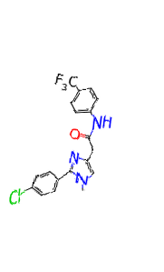 Cn1cc(CC(=O)Nc2ccc(C(F)(F)F)cc2)nc1-c1ccc(Cl)cc1